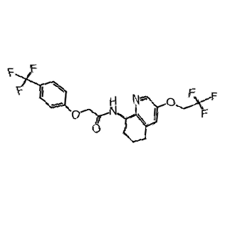 O=C(COc1ccc(C(F)(F)F)cc1)NC1CCCc2cc(OCC(F)(F)F)cnc21